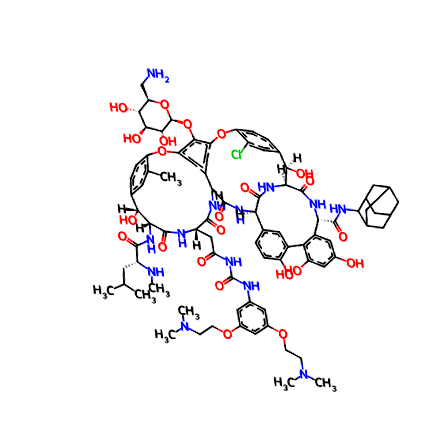 CN[C@H](CC(C)C)C(=O)N[C@H]1C(=O)N[C@@H](CC(=O)NC(=O)Nc2cc(OCCN(C)C)cc(OCCN(C)C)c2)C(=O)N[C@H]2C(=O)N[C@H]3C(=O)N[C@H](C(=O)N[C@H](C(=O)NC4C5CC6CC(C5)CC4C6)c4cc(O)cc(O)c4-c4cc3ccc4O)[C@H](O)c3ccc(c(Cl)c3)Oc3cc2cc(c3O[C@@H]2O[C@H](CN)[C@@H](O)[C@H](O)[C@H]2O)Oc2ccc(cc2C)[C@H]1O